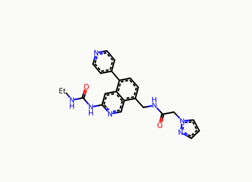 CCNC(=O)Nc1cc2c(-c3ccncc3)ccc(CNC(=O)Cn3cccn3)c2cn1